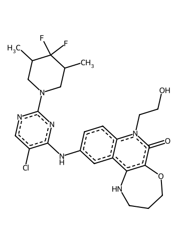 CC1CN(c2ncc(Cl)c(Nc3ccc4c(c3)c3c(c(=O)n4CCO)OCCCN3)n2)CC(C)C1(F)F